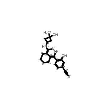 CC1(O)CC(Nc2nnc(-c3ccc(C#CF)cc3O)c3c2CCCC3)C1